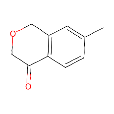 Cc1ccc2c(c1)COCC2=O